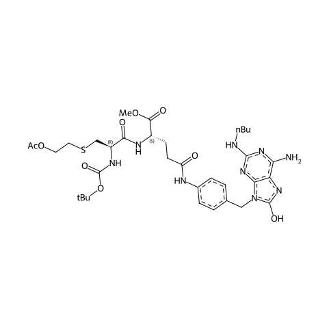 CCCCNc1nc(N)c2nc(O)n(Cc3ccc(NC(=O)CC[C@H](NC(=O)[C@H](CSCCOC(C)=O)NC(=O)OC(C)(C)C)C(=O)OC)cc3)c2n1